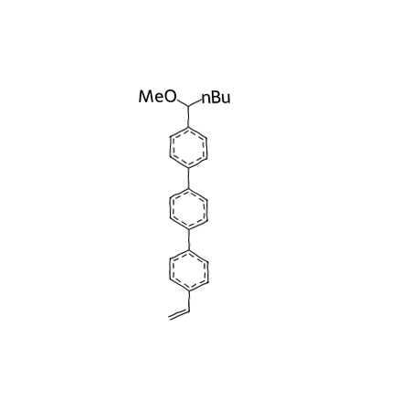 C=Cc1ccc(-c2ccc(-c3ccc(C(CCCC)OC)cc3)cc2)cc1